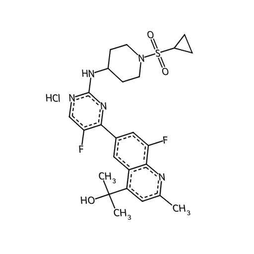 Cc1cc(C(C)(C)O)c2cc(-c3nc(NC4CCN(S(=O)(=O)C5CC5)CC4)ncc3F)cc(F)c2n1.Cl